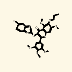 CCCOc1c(OC)cc2oc(-c3cc(OC)c(OC)c(OC)c3)c(Oc3cnc4cc(Cl)ccc4n3)c(=O)c2c1OC